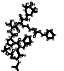 CC(C)C[C@H](NC(=O)OC(C)(C)C)/C(F)=C/[C@H](Cc1ccccc1)C(=O)N1CCC[C@H]1C(=O)N[C@H](C(=O)NC(CCCNC(=O)OCc1ccccc1)C(=O)NC1CC(C)(C)N(O)C(C)(C)C1)C(C)C